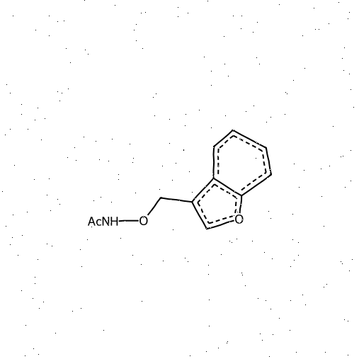 CC(=O)NOCc1coc2ccccc12